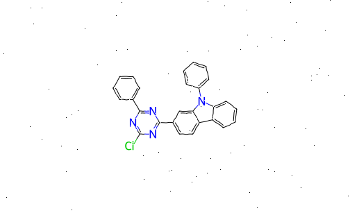 Clc1nc(-c2ccccc2)nc(-c2ccc3c4ccccc4n(-c4ccccc4)c3c2)n1